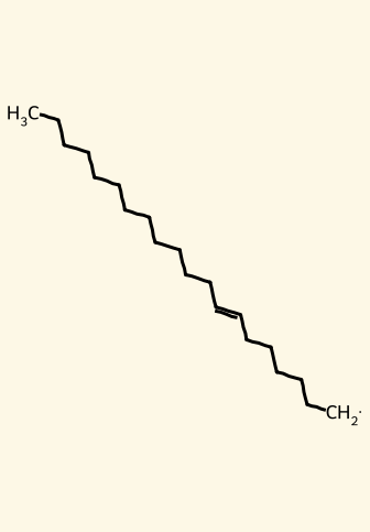 [CH2]CCCCCC=CCCCCCCCCCCCC